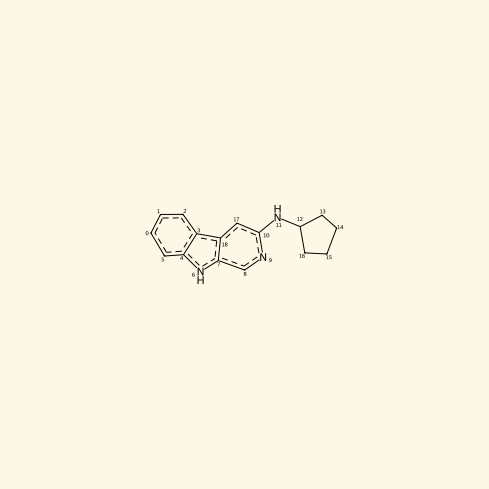 c1ccc2c(c1)[nH]c1cnc(NC3CCCC3)cc12